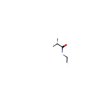 CC[C@H](C(=O)O)C(=O)NCC#N